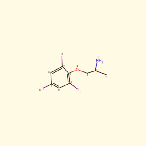 CC(N)COc1c(I)cc(I)cc1I